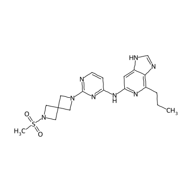 CCCc1nc(Nc2ccnc(N3CC4(C3)CN(S(C)(=O)=O)C4)n2)cc2[nH]cnc12